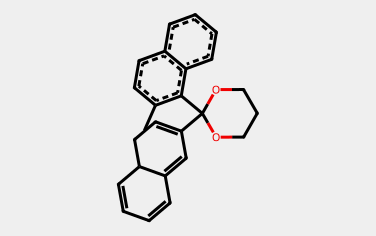 Cc1ccc2ccccc2c1C1(C2=CCC3C=CC=CC3=C2)OCCCO1